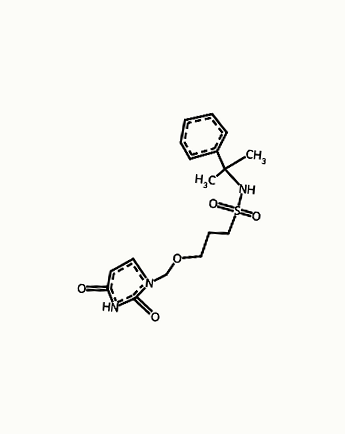 CC(C)(NS(=O)(=O)CCCOCn1ccc(=O)[nH]c1=O)c1ccccc1